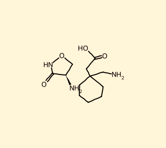 NCC1(CC(=O)O)CCCCC1.N[C@@H]1CONC1=O